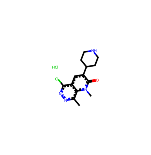 Cc1nnc(Cl)c2cc(C3CCNCC3)c(=O)n(C)c12.Cl